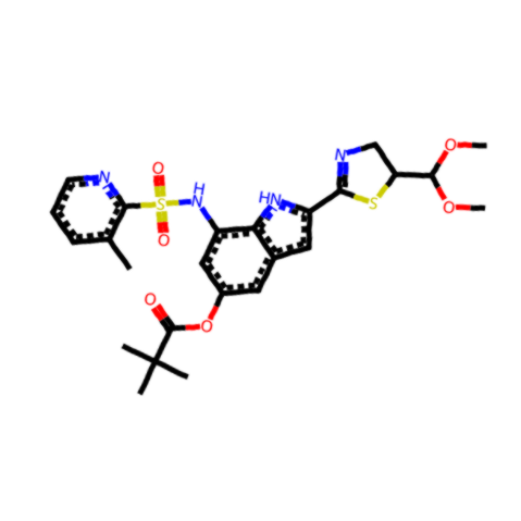 COC(OC)C1CN=C(c2cc3cc(OC(=O)C(C)(C)C)cc(NS(=O)(=O)c4ncccc4C)c3[nH]2)S1